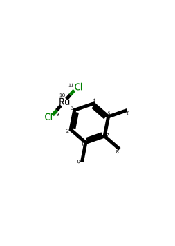 Cc1cccc(C)c1C.[Cl][Ru][Cl]